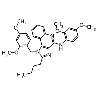 CCCCc1nc2c(Nc3ccc(OC)cc3OC)nc3ccccc3c2n1Cc1ccc(OC)cc1OC